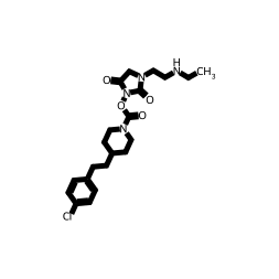 CCNCCN1CC(=O)N(OC(=O)N2CCC(CCc3ccc(Cl)cc3)CC2)C1=O